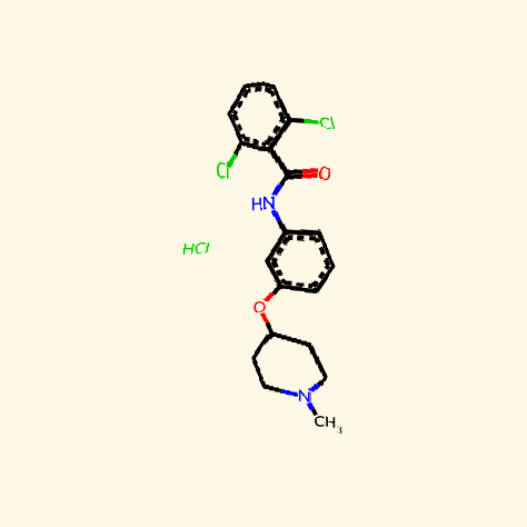 CN1CCC(Oc2cccc(NC(=O)c3c(Cl)cccc3Cl)c2)CC1.Cl